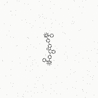 CC1(C)N=C(c2ccc(-c3ccc4c(c3)oc3cc(-c5ccc(C6=NC(C)(C)C(C)(C)N6c6ccccc6)cc5)c5ccccc5c34)cc2)N(c2ccccc2)C1(C)C